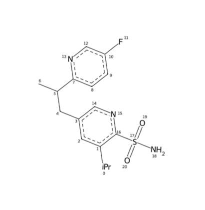 CC(C)c1cc(CC(C)c2ccc(F)cn2)cnc1S(N)(=O)=O